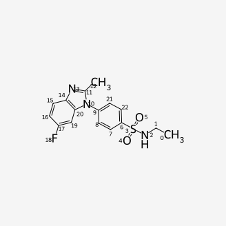 CCNS(=O)(=O)c1ccc(-n2c(C)nc3ccc(F)cc32)cc1